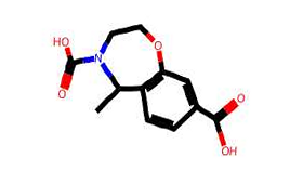 CC1c2ccc(C(=O)O)cc2OCCN1C(=O)O